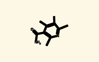 Cc1nc(C)c(C(N)=O)c(C)c1C